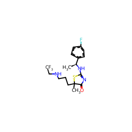 C[C@H](NC1=NC(=O)C(C)(CCCNCC(F)(F)F)S1)c1ccc(F)cc1